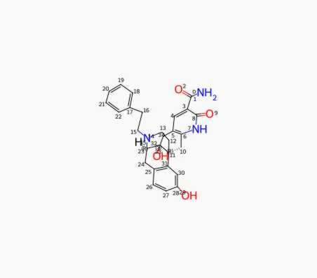 NC(=O)c1cc2c([nH]c1=O)C[C@]13CCN(CCc4ccccc4)[C@H](Cc4ccc(O)cc41)[C@]3(O)C2